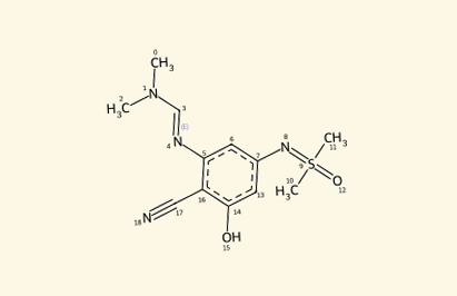 CN(C)/C=N/c1cc(N=S(C)(C)=O)cc(O)c1C#N